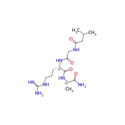 CC(C)CC(=O)NCC(=O)N[C@@H](CCCNC(=N)N)C(=O)N[C@@H](C)C(N)=O